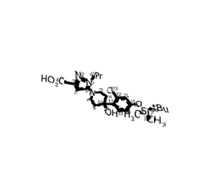 CC(C)n1nc(C(=O)O)cc1N1CCC(O)(c2ccc(O[Si](C)(C)C(C)(C)C)cc2Cl)CC1